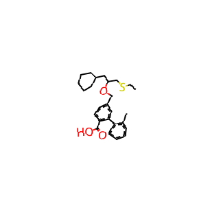 CCSCC(CC1CCCCC1)OCc1ccc(C(=O)O)c(-c2ccccc2C)c1